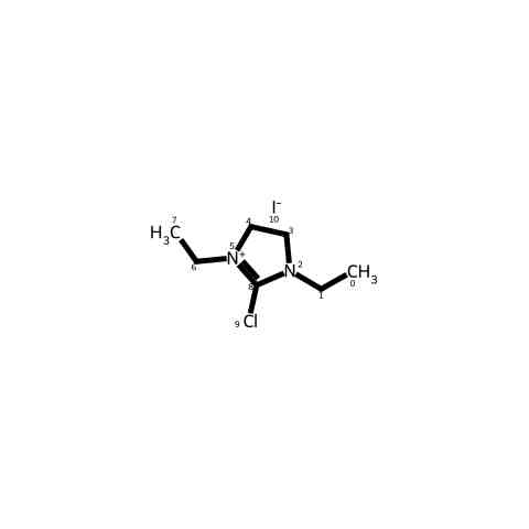 CCN1CC[N+](CC)=C1Cl.[I-]